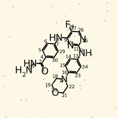 NNC(=O)c1ccc(Nc2nc(Nc3ccc(N4CCOCC4)cc3)ncc2F)cc1